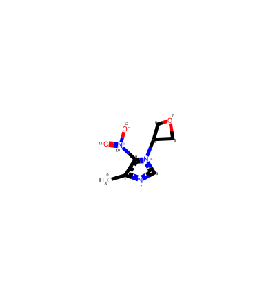 Cc1ncn(C2COC2)c1[N+](=O)[O-]